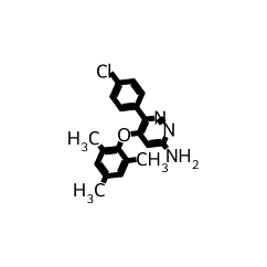 Cc1cc(C)c(Oc2cc(N)nnc2-c2ccc(Cl)cc2)c(C)c1